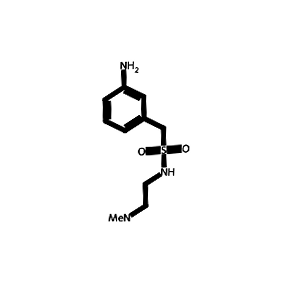 CNCCNS(=O)(=O)Cc1cccc(N)c1